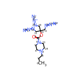 CCCN1CCN(C(=O)OC(CN=[N+]=[N-])(CN=[N+]=[N-])CN=[N+]=[N-])CC1